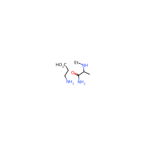 CCNC(C)C(N)=O.NCCC(=O)O